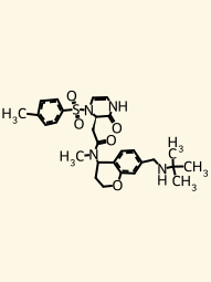 Cc1ccc(S(=O)(=O)N2C=CNC(=O)[C@H]2CC(=O)N(C)[C@@H]2CCOc3cc(CNC(C)(C)C)ccc32)cc1